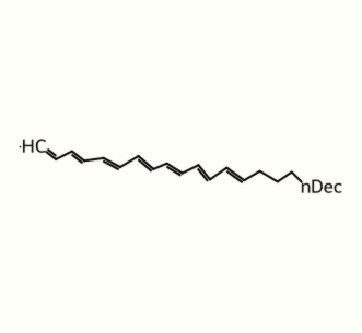 [CH]=C/C=C/C=C/C=C/C=C/C=C/C=C/CCCCCCCCCCCCC